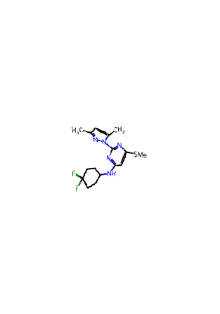 CSc1cc(NC2CCC(F)(F)CC2)nc(-n2nc(C)cc2C)n1